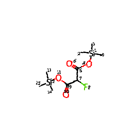 C[Si](C)(C)OC(=O)C(F)C(=O)O[Si](C)(C)C